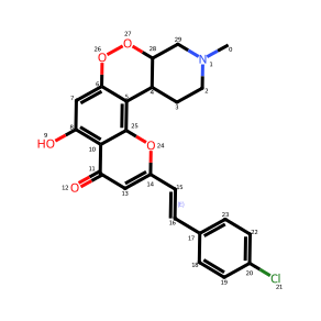 CN1CCC2c3c(cc(O)c4c(=O)cc(/C=C/c5ccc(Cl)cc5)oc34)OOC2C1